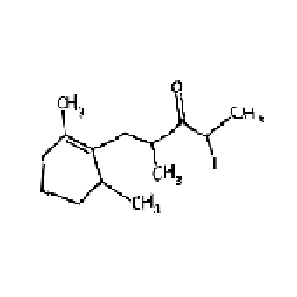 CC1=C(CC(C)C(=O)C(C)I)C(C)CCC1